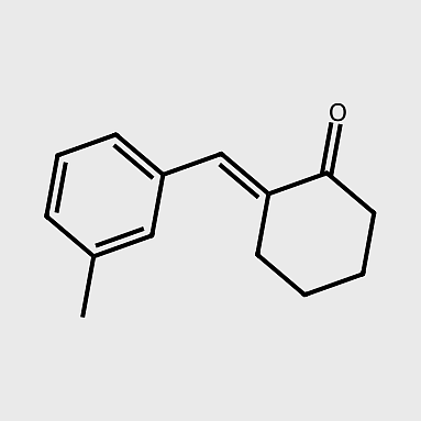 Cc1cccc(C=C2CCCCC2=O)c1